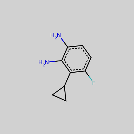 Nc1ccc(F)c(C2CC2)c1N